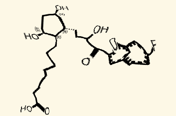 O=C(O)CCCCCC[C@@H]1[C@@H](CCC(O)C(=O)c2cc3ccc(F)cc3o2)[C@H](O)C[C@@H]1O